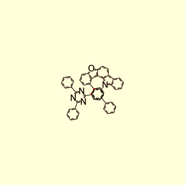 c1ccc(-c2ccc(-c3cccc4oc5ccc6c7ccccc7n(-c7ccccc7)c6c5c34)c(-c3nc(-c4ccccc4)nc(-c4ccccc4)n3)c2)cc1